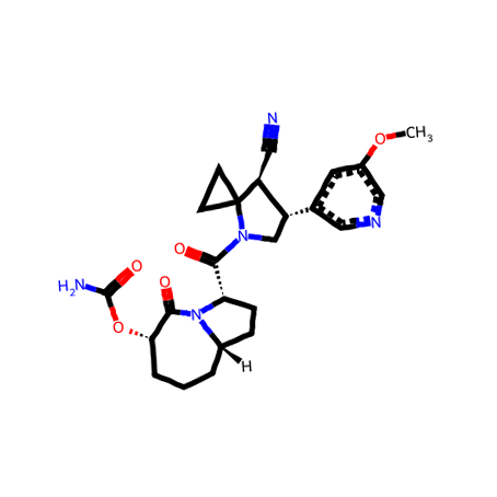 COc1cncc([C@@H]2CN(C(=O)[C@@H]3CC[C@@H]4CCC[C@H](OC(N)=O)C(=O)N43)C3(CC3)[C@H]2C#N)c1